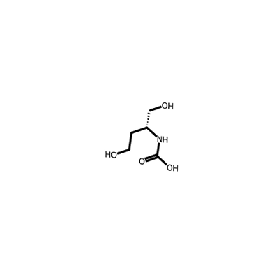 O=C(O)N[C@@H](CO)CCO